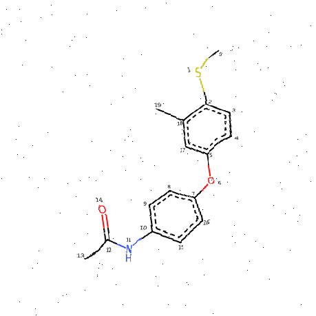 CSc1ccc(Oc2ccc(NC(C)=O)cc2)cc1C